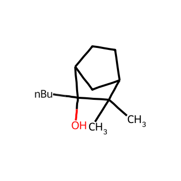 CCCCC1(O)C2CCC(C2)C1(C)C